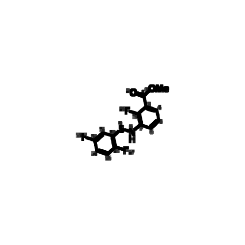 COC(=O)c1cccc(NSc2cc(F)ccc2F)c1F